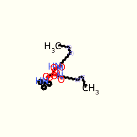 CCCCC/C=C\C/C=C\CCCCCCCC(=O)NCC(=O)OCC(COC(=O)CNC(c1ccccc1)(c1ccccc1)c1ccccc1)OC(=O)CNC(=O)CCCCCCC/C=C\C/C=C\CCCCC